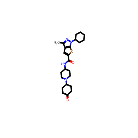 Cc1nn(C2CCCCC2)c2sc(C(=O)NC3CCN(C4CCC(=O)CC4)CC3)cc12